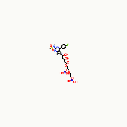 CC(C)c1nc(N(C)S(C)(=O)=O)nc(-c2ccc(F)cc2)c1/C=C/C(O)CC(O)CC(=O)OCC(COCCON(O)O)ON(O)O